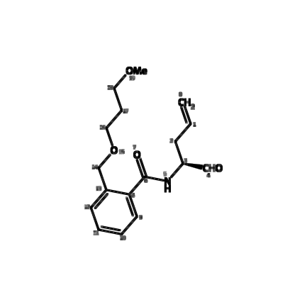 C=CC[C@@H](C=O)NC(=O)c1ccccc1COCCCOC